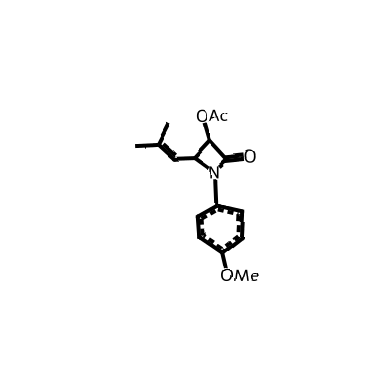 COc1ccc(N2C(=O)C(OC(C)=O)C2C=C(C)C)cc1